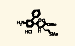 COC(=O)[C@H](CCSC)NC(=O)c1ccc(N)cc1-c1ccccc1.Cl